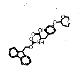 O=C(NC(Cc1ccc(OC2CCCCO2)cc1)C(=O)O)OCC1c2ccccc2-c2ccccc21